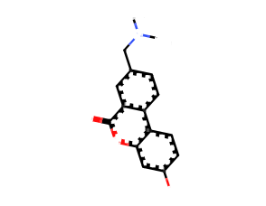 CN(C)Cc1ccc2c(c1)c(=O)oc1cc(O)ccc12